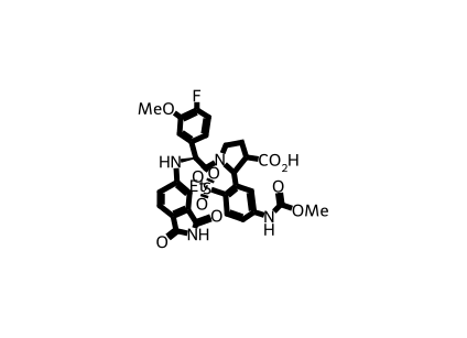 CCS(=O)(=O)c1ccc(NC(=O)OC)cc1C1C(C(=O)O)CCN1C(=O)[C@@H](Nc1ccc2c(c1)C(=O)NC2=O)c1ccc(F)c(OC)c1